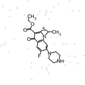 CCOC(=O)c1c2n(c3cc(N4CCNCC4)c(F)cc3c1=O)C(C)S2